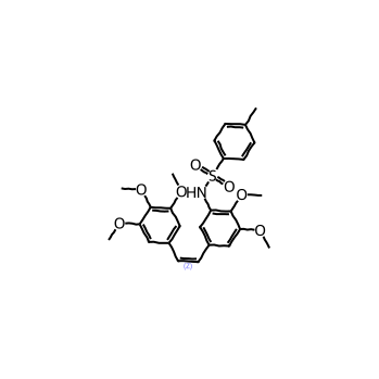 COc1cc(/C=C\c2cc(OC)c(OC)c(OC)c2)cc(NS(=O)(=O)c2ccc(C)cc2)c1OC